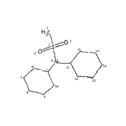 CS(=O)(=O)N(C1CCCCC1)C1CCCCC1